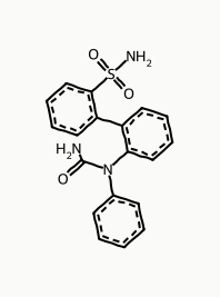 NC(=O)N(c1ccccc1)c1ccccc1-c1ccccc1S(N)(=O)=O